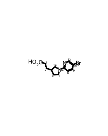 O=C(O)CCC1CCN(c2ccc(Br)cn2)C1